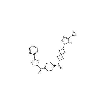 O=C(c1ccc(-c2ccccn2)s1)N1CCN(C(=O)N2CC3(CC(c4nnc(C5CC5)[nH]4)C3)C2)CC1